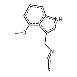 COc1cccc2[nH]cc(CN=C=S)c12